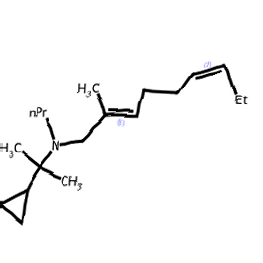 CC/C=C\CC/C=C(\C)CN(CCC)C(C)(C)C1CC1